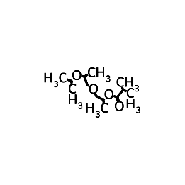 CC(C)OC(C)COCC(C)OC(=O)C(C)C